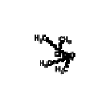 CCCCCCCC(CCCC)C1(COCC2(C(CCCC)CCCCCCC)CO2)CO1